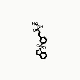 O=C(C=Cc1cccc(S(=O)(=O)N2CCc3ccccc32)c1)NO